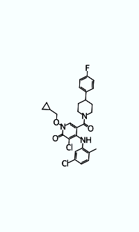 Cc1ccc(Cl)cc1Nc1c(C(=O)N2CCC(c3ccc(F)cc3)CC2)cn(OCC2CC2)c(=O)c1Cl